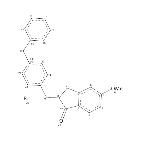 COc1ccc2c(c1)CC(Cc1cc[n+](Cc3ccccc3)cc1)C2=O.[Br-]